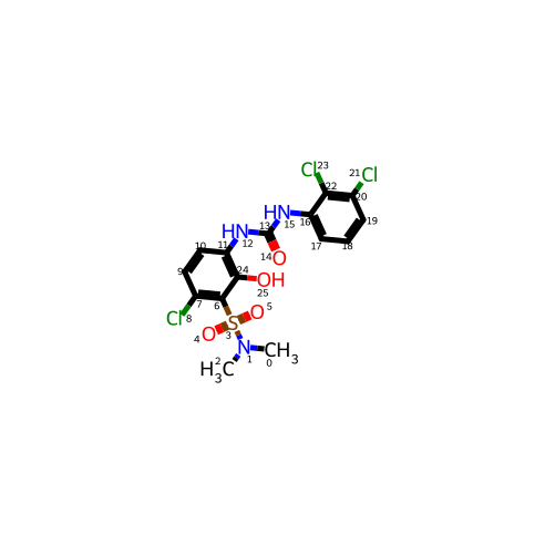 CN(C)S(=O)(=O)c1c(Cl)ccc(NC(=O)Nc2cccc(Cl)c2Cl)c1O